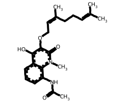 CC(=O)Nc1cccc2c(O)c(OCC=C(C)CCC=C(C)C)c(=O)n(C)c12